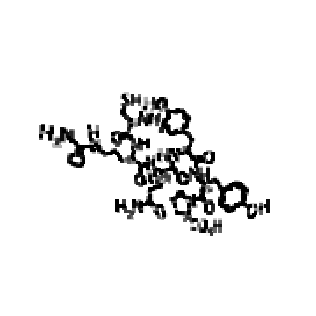 NC(=O)CC[C@H](NC(=O)[C@H](CCCNC(N)=O)NC(=O)[C@@H](N)CS)C(=O)N[C@@H](Cc1ccc(O)cc1)C(=O)N[C@@H](Cc1ccc(O)cc1)C(=O)N1CCC[C@H]1C(=O)O